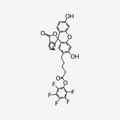 O=C(CCCCc1cc2c(cc1O)Oc1cc(O)ccc1C21OC(=O)c2ccccc21)Oc1c(F)c(F)c(F)c(F)c1F